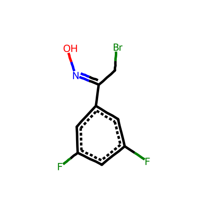 ON=C(CBr)c1cc(F)cc(F)c1